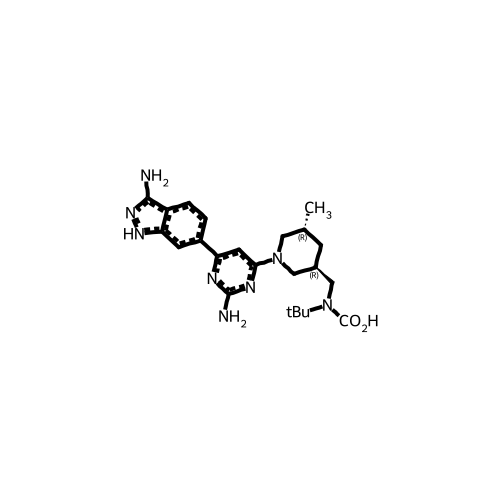 C[C@@H]1C[C@@H](CN(C(=O)O)C(C)(C)C)CN(c2cc(-c3ccc4c(N)n[nH]c4c3)nc(N)n2)C1